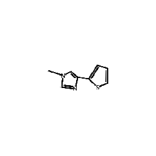 Cn1[c]nc(-c2cccs2)c1